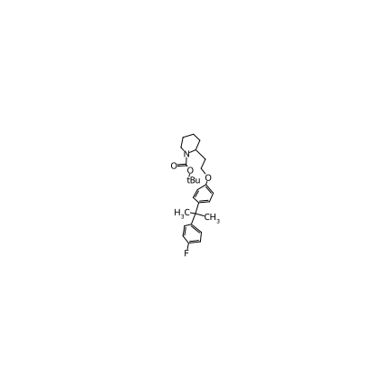 CC(C)(C)OC(=O)N1CCCCC1CCOc1ccc(C(C)(C)c2ccc(F)cc2)cc1